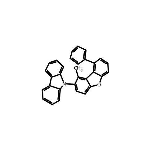 Cc1c(-n2c3ccccc3c3ccccc32)ccc2oc3cccc(-c4ccccc4)c3c12